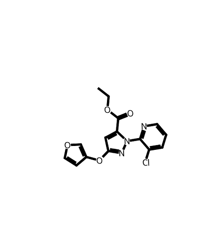 CCOC(=O)c1cc(Oc2ccoc2)nn1-c1ncccc1Cl